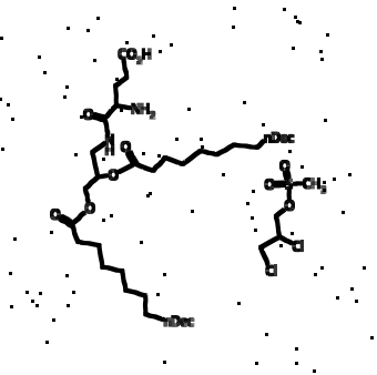 CCCCCCCCCCCCCCCCCC(=O)OCC(CNC(=O)C(N)CCC(=O)O)OC(=O)CCCCCCCCCCCCCCCCC.CS(=O)(=O)OCC(Cl)CCl